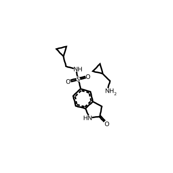 NCC1CC1.O=C1Cc2cc(S(=O)(=O)NCC3CC3)ccc2N1